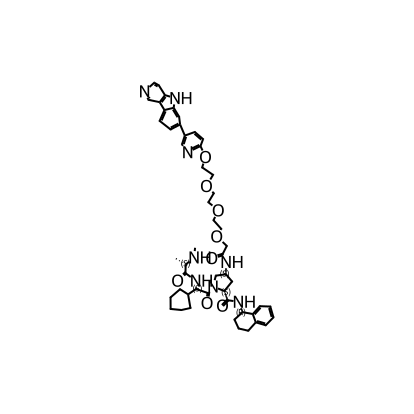 CN[C@@H](C)C(=O)N[C@H](C(=O)N1C[C@@H](NC(=O)COCCOCCOCCOc2ccc(-c3ccc4c(c3)[nH]c3ccncc34)cn2)C[C@H]1C(=O)N[C@@H]1CCCc2ccccc21)C1CCCCC1